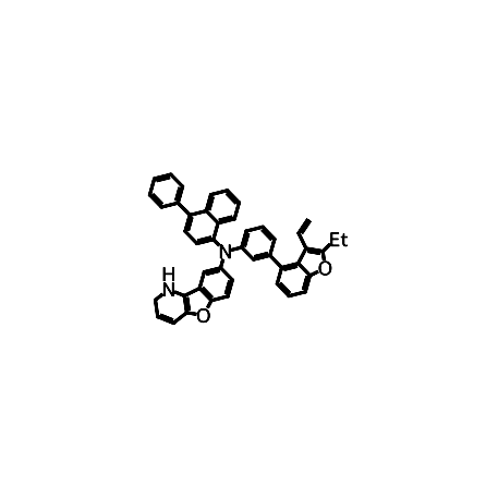 C=Cc1c(CC)oc2cccc(-c3cccc(N(c4ccc5oc6c(c5c4)NCC=C6)c4ccc(-c5ccccc5)c5ccccc45)c3)c12